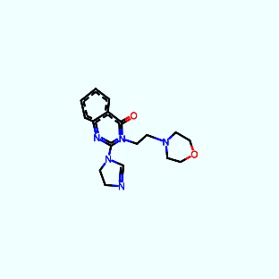 O=c1c2ccccc2nc(N2C=NCC2)n1CCN1CCOCC1